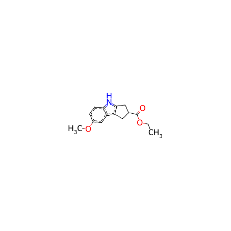 CCOC(=O)C1Cc2[nH]c3ccc(OC)cc3c2C1